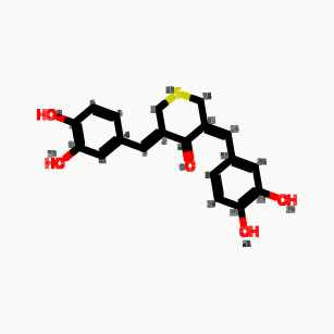 O=C1/C(=C/c2ccc(O)c(O)c2)CSC/C1=C/c1ccc(O)c(O)c1